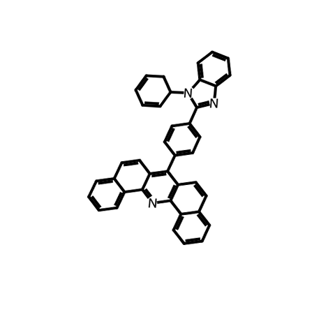 C1=CCC(n2c(-c3ccc(-c4c5ccc6ccccc6c5nc5c4ccc4ccccc45)cc3)nc3ccccc32)C=C1